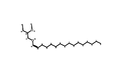 CCCCCCCCCCCCCC/C=C\OCC(CC)OC